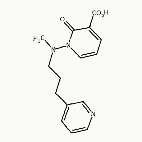 CN(CCCc1cccnc1)n1cccc(C(=O)O)c1=O